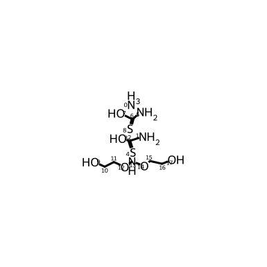 N.NC(O)=S.NC(O)=S.OCCONOCCO